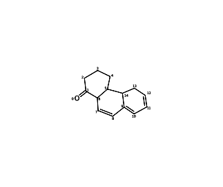 O=C1CCCC2C1C=CC1=CC=CCC12